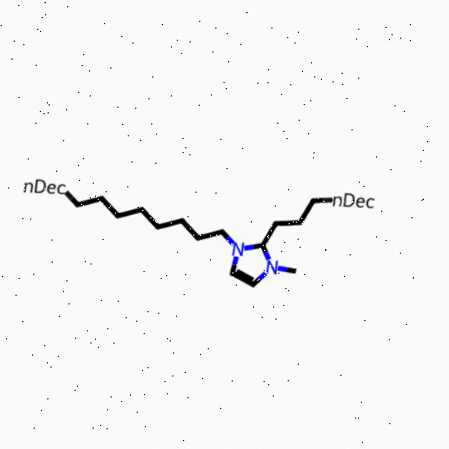 CCCCCCCCCCCCCCCCCCN1C=CN(C)C1CCCCCCCCCCCCC